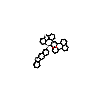 c1ccc(-c2cccc3cccc(-c4ccc(N(c5ccc6cc7c(cc6c5)sc5ccccc57)c5cccc6oc7ccccc7c56)cc4)c23)cc1